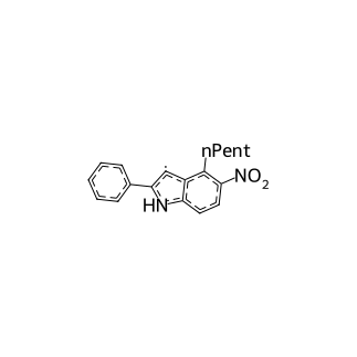 CCCCCc1c([N+](=O)[O-])ccc2[nH]c(-c3ccccc3)[c]c12